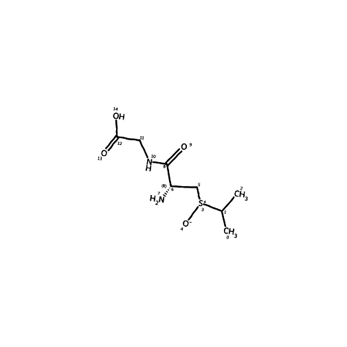 CC(C)[S+]([O-])C[C@H](N)C(=O)NCC(=O)O